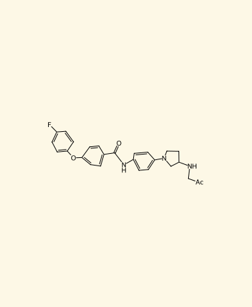 CC(=O)CNC1CCN(c2ccc(NC(=O)c3ccc(Oc4ccc(F)cc4)cc3)cc2)C1